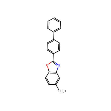 O=C(O)c1ccc2oc(-c3ccc(-c4ccccc4)cc3)nc2c1